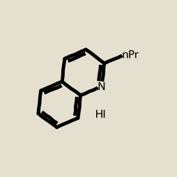 CCCc1ccc2ccccc2n1.I